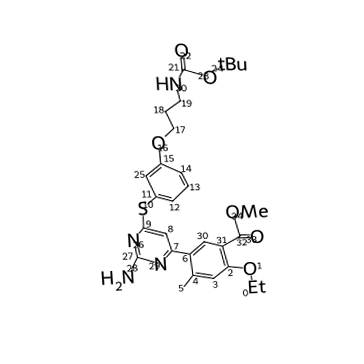 CCOc1cc(C)c(-c2cc(Sc3cccc(OCCCNC(=O)OC(C)(C)C)c3)nc(N)n2)cc1C(=O)OC